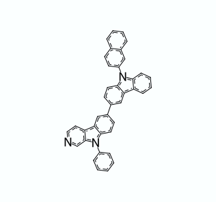 c1ccc(-n2c3ccc(-c4ccc5c(c4)c4ccccc4n5-c4ccc5ccccc5c4)cc3c3ccncc32)cc1